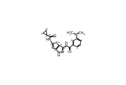 CN(C)c1cccc(C(=O)Nc2n[nH]c3nc(NC(=O)C4CC4)sc23)c1